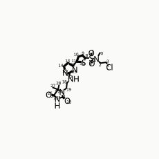 CN(CCCl)S(=O)(=O)c1ccc(-c2ccnc(NCCN3C(=O)NC(=O)C3(C)C)n2)s1